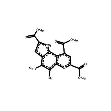 COC(=O)c1cc(C(=O)OC)c2c(n1)c(O)c(OC)c1cc(C(=O)OC)[nH]c12